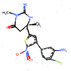 CN1C(=N)N[C@](C)(c2cc(-c3ccc(F)c(N)c3)c([N+](=O)[O-])s2)CC1=O